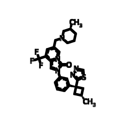 C[C@H]1CCCN(Cc2cc(C(F)(F)F)c3cn(-c4cccc([C@]5(c6nncs6)C[C@@H](C)C5)c4)c(=O)n3c2)C1